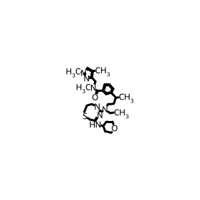 CCN(CCC(C)c1cccc(C(=O)N(C)Cc2nn(C)cc2C)c1)C1=N/CCCSC/C(NC2CCOCC2)=N\1